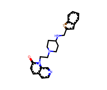 O=c1ccc2ccncc2n1CCN1CCC(NCc2cc3ccccc3s2)CC1